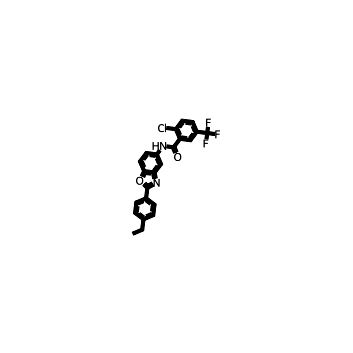 CCc1ccc(-c2nc3cc(NC(=O)c4cc(C(F)(F)F)ccc4Cl)ccc3o2)cc1